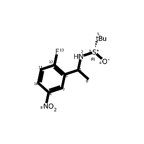 CC(N[S@@+]([O-])C(C)(C)C)c1cc([N+](=O)[O-])ccc1F